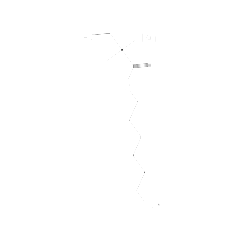 CC(=O)OCCCCCCOC(=O)C(C)(CC(C)(C)C)C(C)(C)C